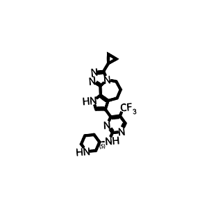 FC(F)(F)c1cnc(N[C@H]2CCCNC2)nc1-c1c[nH]c2c1CCCn1c-2nnc1C1CC1